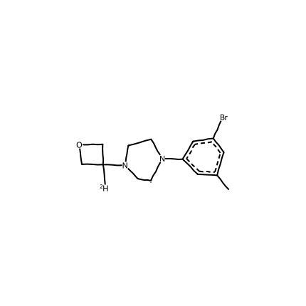 [2H]C1(N2C[CH]N(c3cc(C)cc(Br)c3)CC2)COC1